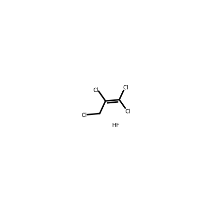 ClCC(Cl)=C(Cl)Cl.F